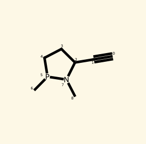 C#CC1CCP(C)N1C